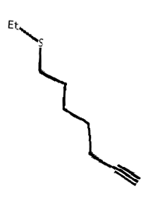 C#CCCCCCSC[CH2]